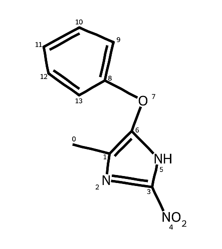 Cc1nc([N+](=O)[O-])[nH]c1Oc1ccccc1